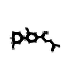 C=C(C)CCC(=N)c1ccc(-c2cccc(C)c2)c(C)c1